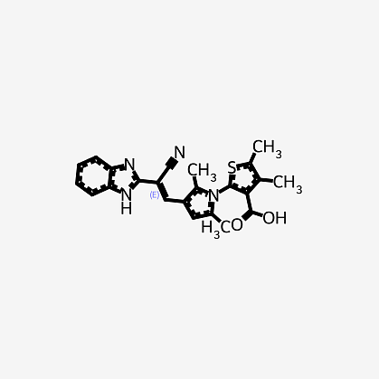 Cc1sc(-n2c(C)cc(/C=C(\C#N)c3nc4ccccc4[nH]3)c2C)c(C(=O)O)c1C